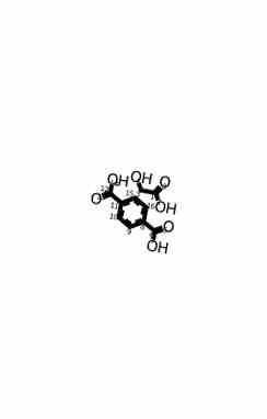 O=C(O)CO.O=C(O)c1ccc(C(=O)O)cc1